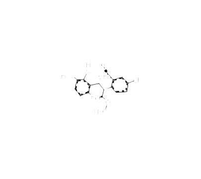 COC(=O)[C@H](c1ccc(Cl)cc1C#N)[C@@H](C)c1c(F)ccc(C)c1C